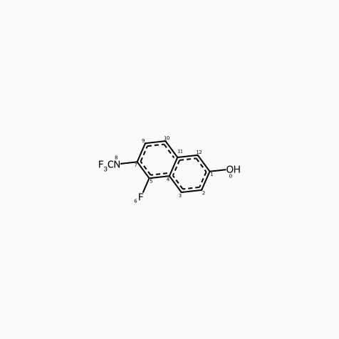 Oc1ccc2c(F)c(NC(F)(F)F)ccc2c1